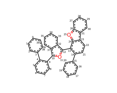 c1ccc(-c2ccccc2-c2oc(-c3c(-c4ccccc4)ccc4c3oc3ccccc34)c3ccccc23)cc1